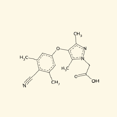 Cc1cc(Oc2c(C)nn(CC(=O)O)c2C)cc(C)c1C#N